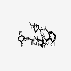 C=Cc1nc(-c2c(Cl)cccc2Cl)n(C[C@H]2CCNC2)c1/N=C(\N)NCc1cc(F)ccc1F